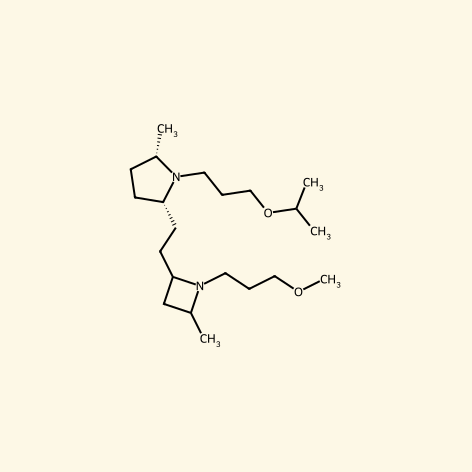 COCCCN1C(C)CC1CC[C@@H]1CC[C@H](C)N1CCCOC(C)C